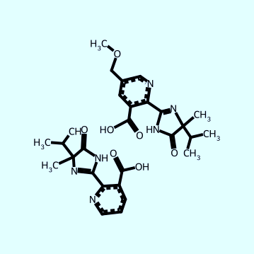 CC(C)C1(C)N=C(c2ncccc2C(=O)O)NC1=O.COCc1cnc(C2=NC(C)(C(C)C)C(=O)N2)c(C(=O)O)c1